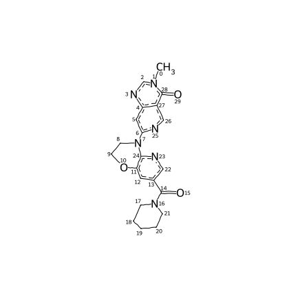 Cn1cnc2cc(N3CCOc4cc(C(=O)N5CCCCC5)cnc43)ncc2c1=O